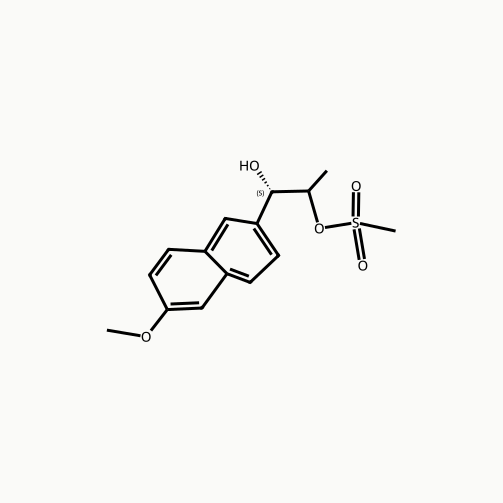 COc1ccc2cc([C@H](O)C(C)OS(C)(=O)=O)ccc2c1